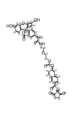 O=C(OCCOCCNC(=S)Nc1ccc2c(c1)C(=O)OC21c2ccc(O)cc2Oc2cc(O)ccc21)Oc1ccc2cc(C(=O)ON3C(=O)CCC3=O)ccc2c1